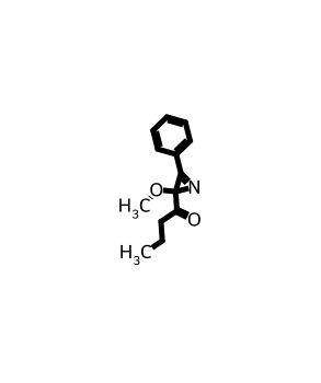 CCCC(=O)C1(OC)N=C1c1ccccc1